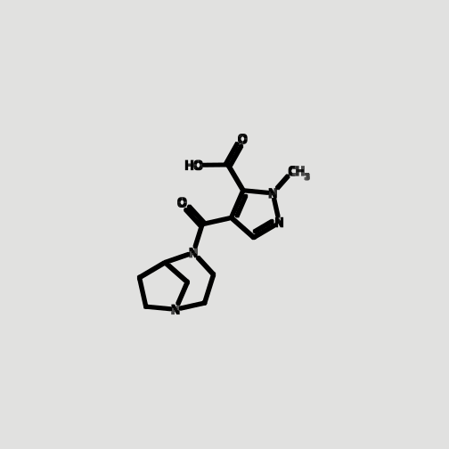 Cn1ncc(C(=O)N2CCN3CCC2C3)c1C(=O)O